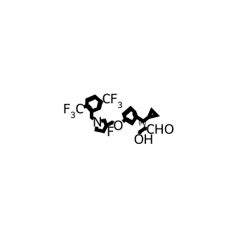 O=CC(CO)[C@H](c1cccc(OCC2(F)CCN(Cc3cc(C(F)(F)F)ccc3C(F)(F)F)C2)c1)C1CC1